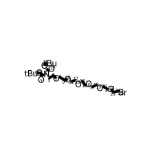 CC(C)(C)OC(=O)N(CCOCCOCCOCCOCCOCCOCCBr)C(=O)OC(C)(C)C